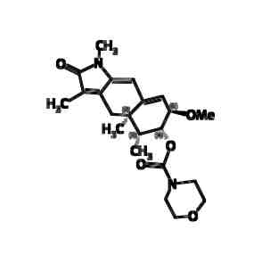 CO[C@@H]1C=C2C=C3C(=C(C)C(=O)N3C)C[C@]2(C)[C@@H](C)[C@H]1OC(=O)N1CCOCC1